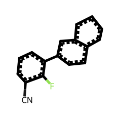 N#Cc1cccc(-c2ccc3ccccc3c2)c1F